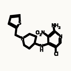 Nc1ncc(Cl)c(NC2CCN(Cc3cccs3)CC2)c1[N+](=O)[O-]